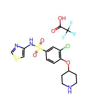 O=C(O)C(F)(F)F.O=S(=O)(Nc1cscn1)c1ccc(OC2CCNCC2)c(Cl)c1